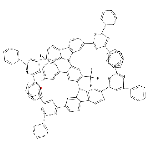 Fc1cc(F)cc(-c2cc(-n3c4cc(-c5nc(-c6ccccc6)nc(-c6ccccc6)n5)ccc4c4ccc(-c5nc(-c6ccccc6)nc(-c6ccccc6)n5)cc43)c(C(F)(F)F)cc2-n2c3cc(-c4nc(-c5ccccc5)nc(-c5ccccc5)n4)ccc3c3ccc(-c4nc(-c5ccccc5)nc(-c5ccccc5)n4)cc32)c1